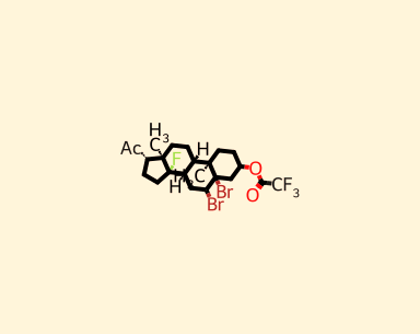 CC(=O)[C@H]1CC[C@@]2(F)[C@@H]3CC(Br)C4(Br)CC(OC(=O)C(F)(F)F)CC[C@]4(C)[C@H]3CC[C@]12C